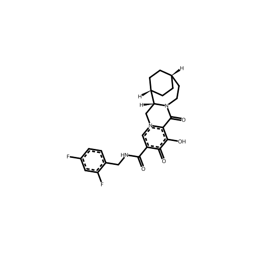 O=C(NCc1ccc(F)cc1F)c1cn2c(c(O)c1=O)C(=O)N1CC[C@H]3CC[C@H](CC3)[C@H]1C2